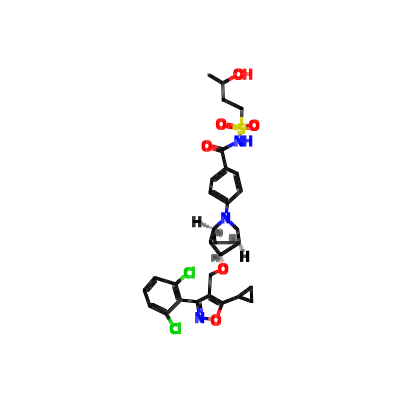 CC(O)CCS(=O)(=O)NC(=O)c1ccc(N2C[C@@H]3C[C@H]2C[C@H]3OCc2c(-c3c(Cl)cccc3Cl)noc2C2CC2)cc1